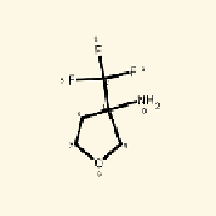 NC1(C(F)(F)F)CCOC1